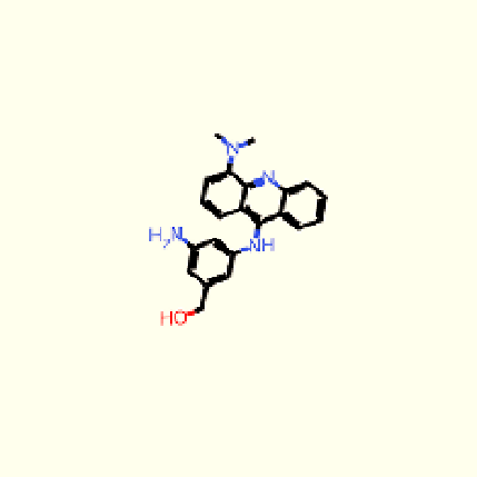 CN(C)c1cccc2c(Nc3cc(N)cc(CO)c3)c3ccccc3nc12